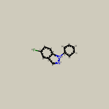 Fc1ccc2c(cnn2-c2ccccc2)c1